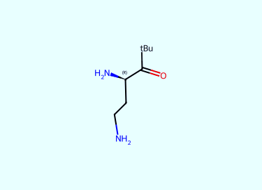 CC(C)(C)C(=O)[C@H](N)CCN